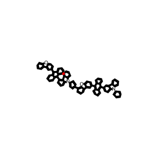 c1ccc(-n2c3ccccc3c3cc(-c4c5ccccc5c(-c5ccc6oc7c(-c8ccc(-n9c%10ccccc%10c%10c(-c%11c%12ccccc%12c(-c%12ccc%13oc%14ccccc%14c%13c%12)c%12ccccc%11%12)cccc%109)cc8)cccc7c6c5)c5ccccc45)ccc32)cc1